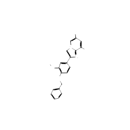 COc1cc(-c2cn3cc(Cl)cc(Cl)c3n2)ccc1OCc1ccccc1